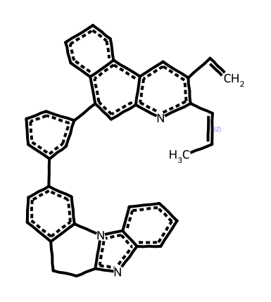 C=Cc1cc2c(cc(-c3cccc(-c4ccc5c(c4)-n4c(nc6ccccc64)CC5)c3)c3ccccc32)nc1/C=C\C